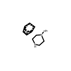 CCCN1CCNCC1.c1cc2ccc1o2